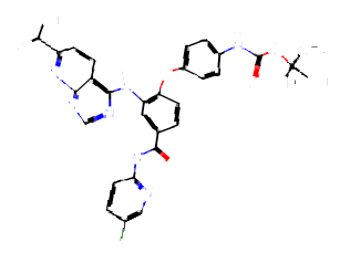 CC(C)c1ccc2c(Nc3cc(C(=O)Nc4ccc(Br)cn4)ccc3Oc3ccc(NC(=O)OC(C)(C)C)cc3)ncnc2n1